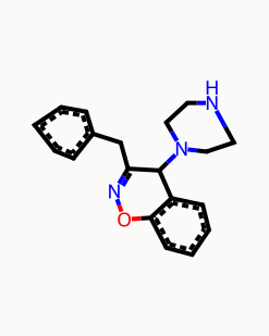 c1ccc(CC2=NOc3ccccc3C2N2CCNCC2)cc1